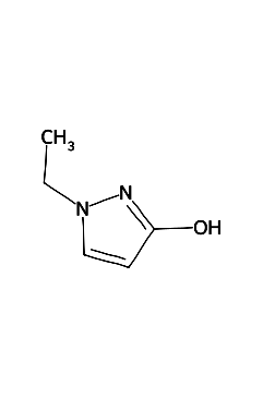 CCn1ccc(O)n1